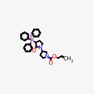 C=CCOC(=O)N1CCC(N2CCC([PH](c3ccccc3)(c3ccccc3)c3ccccc3)C2=O)C1